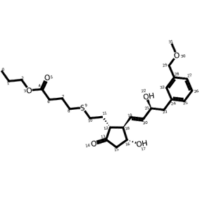 CCCOC(=O)CCCSCC[C@H]1C(=O)C[C@@H](O)[C@@H]1C=C[C@@H](O)Cc1cccc(COC)c1